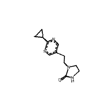 O=C1NCCN1CCc1cnc(C2CC2)nc1